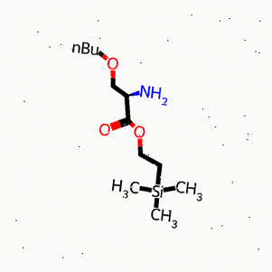 CCCCOC[C@@H](N)C(=O)OCC[Si](C)(C)C